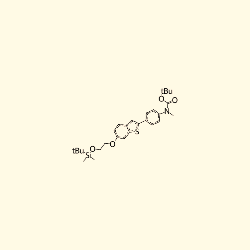 CN(C(=O)OC(C)(C)C)c1ccc(-c2cc3ccc(OCCO[Si](C)(C)C(C)(C)C)cc3s2)cc1